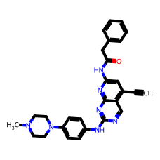 C#Cc1cc(NC(=O)Cc2ccccc2)nc2nc(Nc3ccc(N4CCN(C)CC4)cc3)ncc12